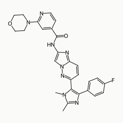 Cc1nc(-c2ccc(F)cc2)c(-c2ccc3nc(NC(=O)c4ccnc(N5CCOCC5)c4)cn3n2)n1C